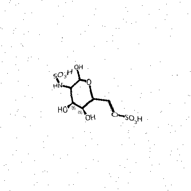 O=S(=O)(O)NC1C(O)OC(COS(=O)(=O)O)[C@@H](O)[C@H]1O